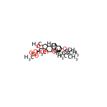 CC1C[C@H]2[C@@H]3CC=C4C=C(O[Si](C)(C)C(C)(C)C)C=C[C@]4(C)[C@]34OC4C[C@]2(C)[C@@]1(O)C(=O)COS(C)(=O)=O